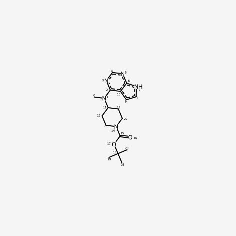 CN(c1ncnc2[nH]ccc12)C1CCN(C(=O)OC(C)(C)C)CC1